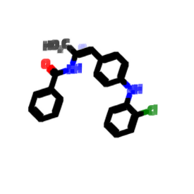 O=C(O)/C(=C/c1ccc(Nc2ccccc2Cl)cc1)NC(=O)c1ccccc1